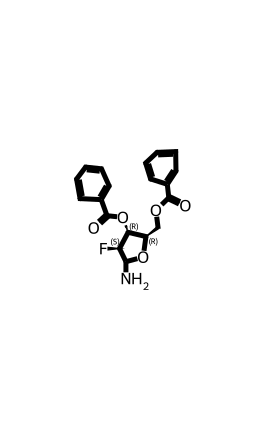 NC1O[C@H](COC(=O)c2ccccc2)[C@@H](OC(=O)c2ccccc2)[C@@H]1F